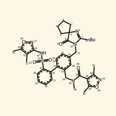 CCCCC1=NC2(CCCC2)C(=O)N1Cc1ccc(-c2ccccc2S(=O)(=O)Nc2noc(C)c2C)c(CN(C)C(=O)c2c(C)noc2C)c1